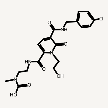 CN(CCNC(=O)c1ccc(C(=O)NCc2ccc(Cl)cc2)c(=O)n1CCO)C(=O)O